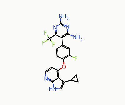 Nc1nc(N)c(-c2ccc(Oc3ccnc4[nH]cc(C5CC5)c34)c(F)c2)c(C(F)(F)F)n1